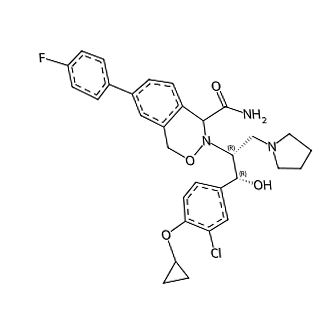 NC(=O)C1c2ccc(-c3ccc(F)cc3)cc2CON1[C@H](CN1CCCC1)[C@H](O)c1ccc(OC2CC2)c(Cl)c1